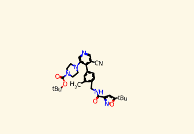 Cc1cc(-c2c(C#N)cncc2N2CCN(C(=O)OC(C)(C)C)CC2)ccc1CNC(=O)c1cc(C(C)(C)C)on1